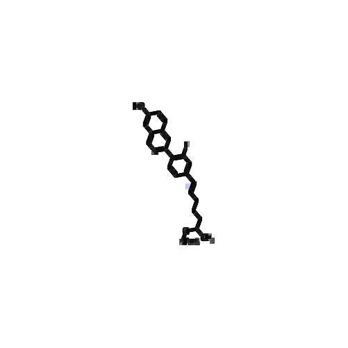 CCCCCOC(C)CCC/C=C/c1ccc(-c2cc3ccc(O)cc3cn2)c(F)c1